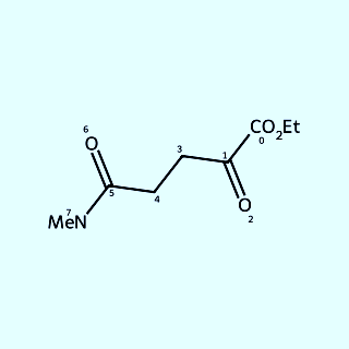 CCOC(=O)C(=O)CCC(=O)NC